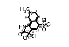 CN1CC=C2C(=C3NC(=O)C(Cl)(Cl)C3=CC2S(=O)(=O)Cl)C1